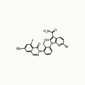 CC(C)(C)c1cc(F)c2c(=O)n(-c3cccc(-n4cc(C(N)=O)c5ccc(Br)nc54)c3CO)ncc2c1